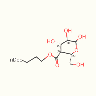 CCCCCCCCCCCCCOC(=O)[C@H]1[C@H](O)[C@@H](O)C(O)O[C@@H]1CO